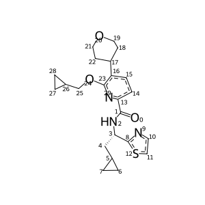 O=C(N[C@@H](CC1CC1)c1nccs1)c1ccc(C2CCOCC2)c(OCC2CC2)n1